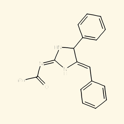 CCC(C)C(=O)/N=C1\N/C(=C\c2ccccc2)C(c2ccccc2)N1